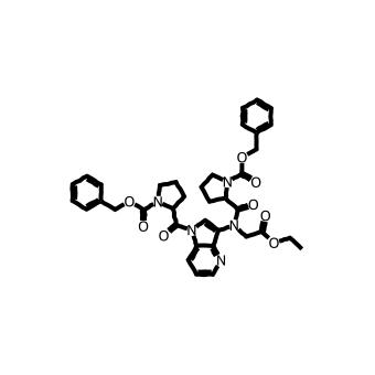 CCOC(=O)CN(C(=O)C1CCCN1C(=O)OCc1ccccc1)c1cn(C(=O)C2CCCN2C(=O)OCc2ccccc2)c2cccnc12